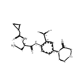 NC[C@@H](NC(=O)C1CC1)C(=O)Nc1ccc(N2CCOCC2=O)cc1C(F)F